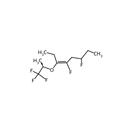 CC/C(O[C@H](C)C(F)(F)F)=C(/F)CC(F)CC